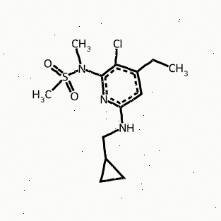 CCc1cc(NCC2CC2)nc(N(C)S(C)(=O)=O)c1Cl